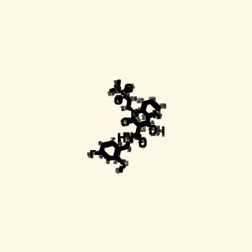 CSc1cc(F)ccc1CNC(=O)c1c(O)c2ncccc2n(CCS(=O)(=O)N(C)C)c1=O